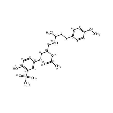 COc1ccc(CCC(C)NCC(COc2ccc(O)c(S(C)(=O)=O)c2)OC(C)=O)cc1